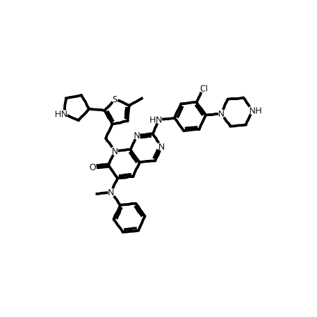 Cc1cc(Cn2c(=O)c(N(C)c3ccccc3)cc3cnc(Nc4ccc(N5CCNCC5)c(Cl)c4)nc32)c(C2CCNC2)s1